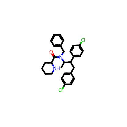 CC(C(Cc1ccc(Cl)cc1)c1ccc(Cl)cc1)N(Cc1ccccc1)C(=O)C1CCCCN1